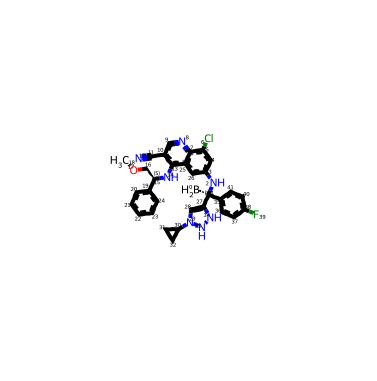 B[C@@](Nc1cc(Cl)c2ncc(C#N)c(N[C@H](COC)c3ccccc3)c2c1)(C1=CN(C2CC2)NN1)c1ccc(F)cc1